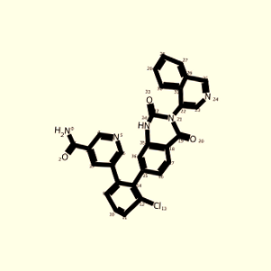 NC(=O)c1cncc(-c2cccc(Cl)c2-c2ccc3c(=O)n(-c4cncc5ccccc45)c(=O)[nH]c3c2)c1